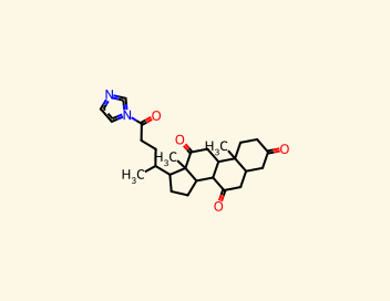 CC(CCC(=O)n1ccnc1)C1CCC2C3C(=O)CC4CC(=O)CCC4(C)C3CC(=O)C12C